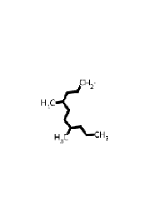 [CH2]CCC(C)CCC(C)CCC